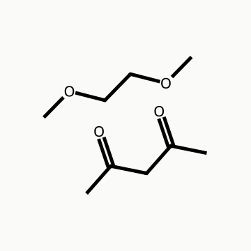 CC(=O)CC(C)=O.COCCOC